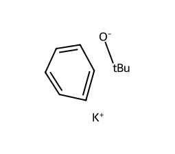 CC(C)(C)[O-].[K+].c1ccccc1